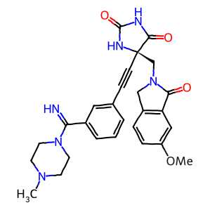 COc1ccc2c(c1)C(=O)N(C[C@@]1(C#Cc3cccc(C(=N)N4CCN(C)CC4)c3)NC(=O)NC1=O)C2